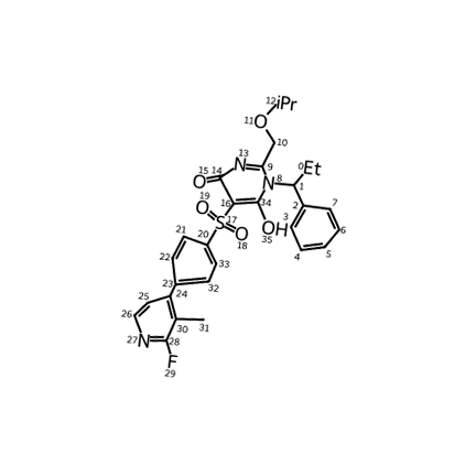 CCC(c1ccccc1)n1c(COC(C)C)nc(=O)c(S(=O)(=O)c2ccc(-c3ccnc(F)c3C)cc2)c1O